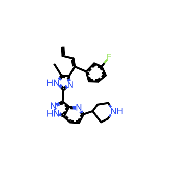 C=C/C=C(/c1cccc(F)c1)c1nc(-c2n[nH]c3ccc(C4CCNCC4)nc23)[nH]c1C